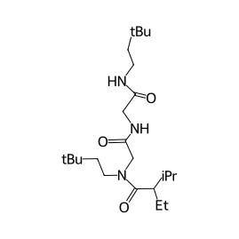 CCC(C(=O)N(CCC(C)(C)C)CC(=O)NCC(=O)NCCC(C)(C)C)C(C)C